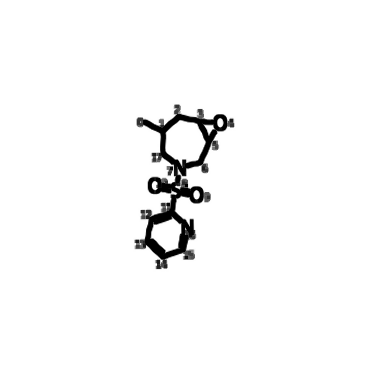 CC1CC2OC2CN(S(=O)(=O)c2ccccn2)C1